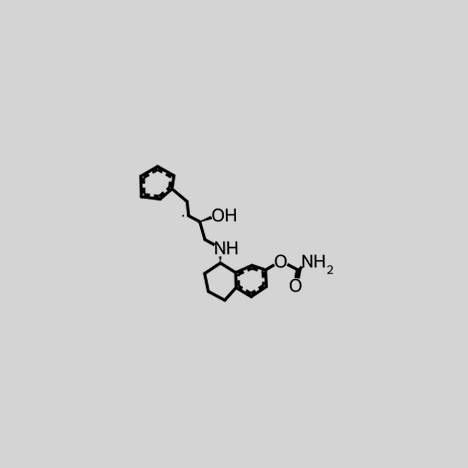 NC(=O)Oc1ccc2c(c1)[C@@H](NC[C@H](O)[CH]Cc1ccccc1)CCC2